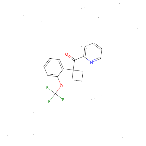 O=C(c1ccccn1)C1(c2ccccc2OC(F)(F)F)CCC1